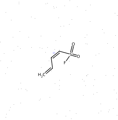 C=C/C=[C]\S(=O)(=O)F